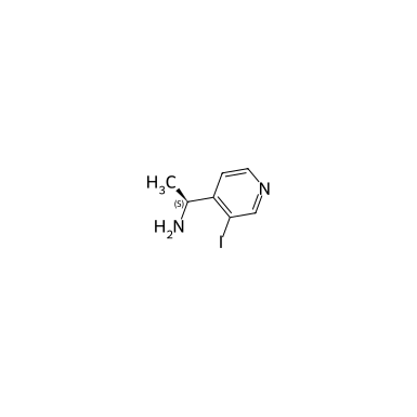 C[C@H](N)c1ccncc1I